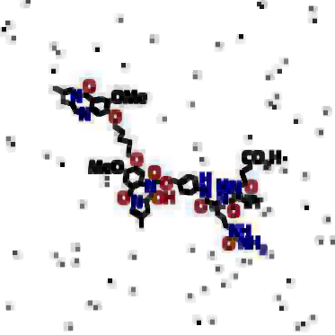 COc1cc2c(cc1OCCCCCOc1cc3c(cc1OC)C(=O)N1C=C(C)CC1C(O)N3C(=O)OCc1ccc(NC(=O)[C@H](CCCNC(N)=O)NC(=O)[C@@H](NC(=O)CCC(=O)O)C(C)C)cc1)N=CC1CC(C)=CN1C2=O